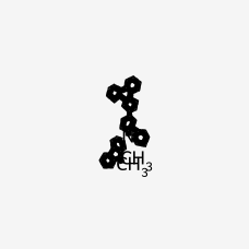 CC1(C)c2ccccc2-c2ccc(-n3c4ccccc4c4cc(-c5ccc6c7ccccc7c7ccccc7c6c5)ccc43)cc21